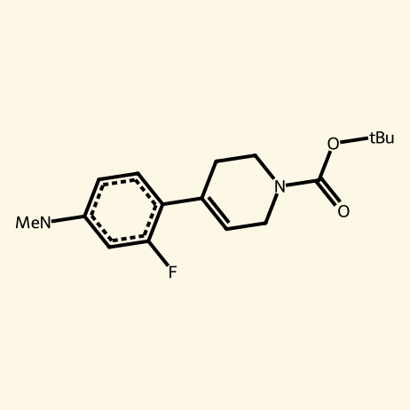 CNc1ccc(C2=CCN(C(=O)OC(C)(C)C)CC2)c(F)c1